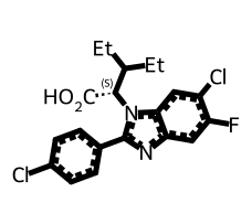 CCC(CC)[C@@H](C(=O)O)n1c(-c2ccc(Cl)cc2)nc2cc(F)c(Cl)cc21